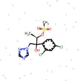 C[C@@H](OS(C)(=O)=O)C(O)(Cn1cncn1)c1ccc(Cl)cc1Cl